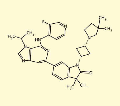 CC(C)n1cnc2cc(-c3ccc4c(c3)N([C@H]3C[C@@H](N5CCC(C)(C)C5)C3)C(=O)C4(C)C)nc(Nc3ccncc3F)c21